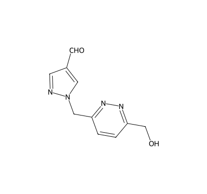 O=Cc1cnn(Cc2ccc(CO)nn2)c1